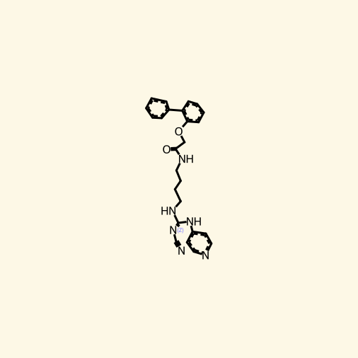 N#C/N=C(/NCCCCNC(=O)COc1ccccc1-c1ccccc1)Nc1ccncc1